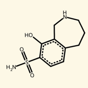 NS(=O)(=O)c1ccc2c(c1O)CNCCC2